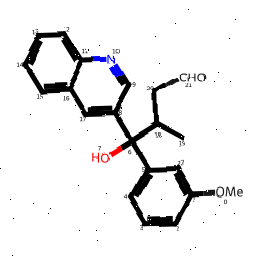 COc1cccc(C(O)(c2cnc3ccccc3c2)C(C)CC=O)c1